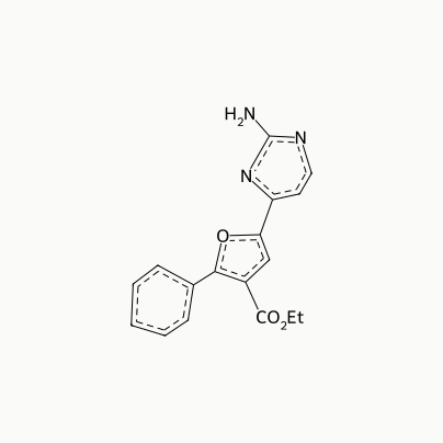 CCOC(=O)c1cc(-c2ccnc(N)n2)oc1-c1ccccc1